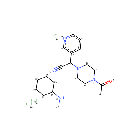 CC(=O)N1CCN(C(C#N)c2cccnc2)CC1.CNC1CCCCC1.Cl.Cl.Cl